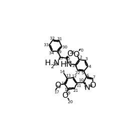 COc1ccc(-c2conc2-c2cc(C)c(OC)c(OC)c2)cc1NC(=O)C(N)c1ccccc1